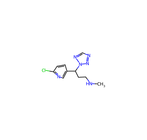 CNCCC(c1ccc(Cl)nc1)n1ncnn1